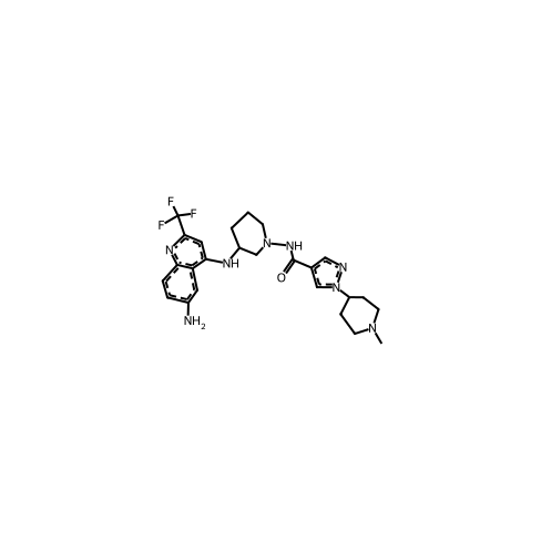 CN1CCC(n2cc(C(=O)NN3CCCC(Nc4cc(C(F)(F)F)nc5ccc(N)cc45)C3)cn2)CC1